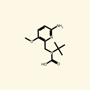 COc1ccc(N)nc1CN(C(=O)O)C(C)(C)C